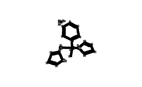 C[Si](Cl)(c1ccccc1)[c-]1cccc1.[Fe+2].c1cc[cH-]c1